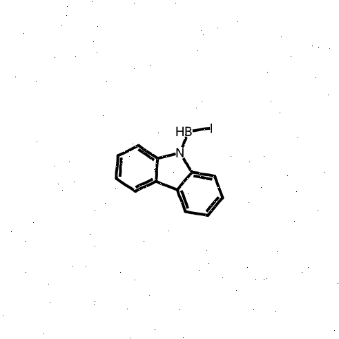 IBn1c2ccccc2c2ccccc21